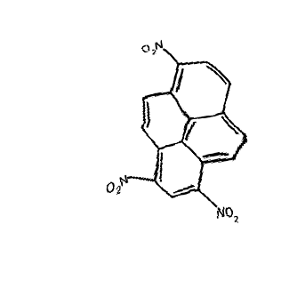 O=[N+]([O-])c1ccc2ccc3c([N+](=O)[O-])cc([N+](=O)[O-])c4ccc1c2c34